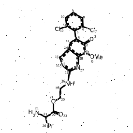 COn1c(=O)c(-c2c(Cl)cccc2Cl)cc2cnc(NCCOC(=O)C(N)C(C)C)nc21